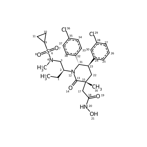 CC[C@@H](CN(C)S(=O)(=O)C1CC1)N1C(=O)[C@@](C)(CC(=O)NO)C[C@H](c2cccc(Cl)c2)[C@H]1c1ccc(Cl)cc1